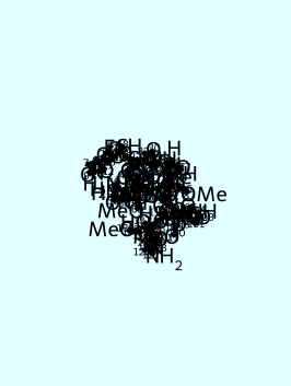 CC[C@H]1O[C@@H](n2cc(C)c(=O)[nH]c2=O)CC1OP(=O)(S)OC[C@H]1O[C@@H](c2[nH]c(=O)[nH]c(=O)c2C)[C@@H](OCCOC)C1OP(=O)(S)OC[C@H]1O[C@@H](n2cnc3c(=O)[nH]c(N)nc32)[C@@H](OCCOC)C1OP(=O)(S)OC[C@H]1O[C@@H](c2[nH]c(=O)[nH]c(=O)c2C)[C@@H](OCCOC)C1OP(=O)(S)OC[C@H]1O[C@@H](n2cc(C)c(=O)[nH]c2=O)[C@@H](OCCOC)C1OP(=O)(S)OC[C@H]1O[C@@H](n2cc(C)c(N)nc2=O)[C@@H](OCCOC)C1O